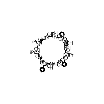 CC(C)C[C@H]1CC(=O)N(C)[C@@H](CC(C)C)C(=O)N(C)CC(=O)N(C)[C@H](CCc2ccccc2)C(=O)N[C@@H](C)CC(=O)N(C)C[C@@H](Cc2ccccc2)C(=O)N(C)[C@@H](CC(C)C)C(=O)N[C@@H]([C@@H](C)O)C(=O)N[C@H](C(=O)N2CCCCC2)CC(=O)NC[C@H](C(C)C)C(=O)N(C)C[C@@H](C)C(=O)N1C